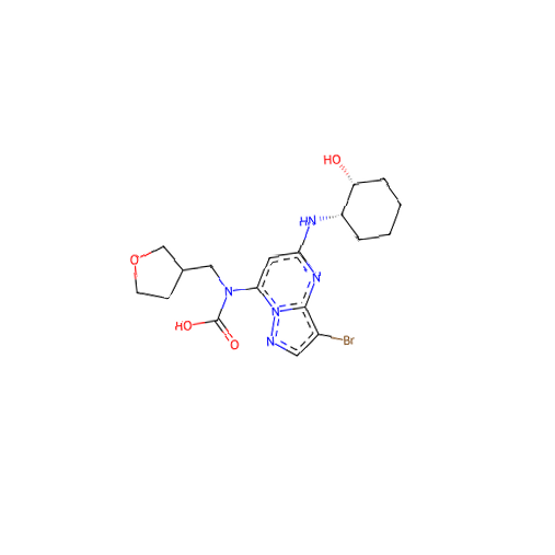 O=C(O)N(CC1CCOC1)c1cc(N[C@H]2CCCC[C@H]2O)nc2c(Br)cnn12